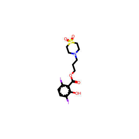 O=C(OCCCN1CCS(=O)(=O)CC1)c1c(I)ccc(I)c1O